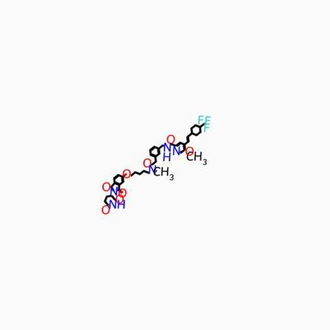 COc1cnc(C(=O)NCc2cccc(CC(=O)N(C)CCCCCOc3ccc4c(c3)C(=O)N(C3CCC(=O)NC3=O)C4=O)c2)cc1C=CC1CCC(C(F)(F)F)CC1